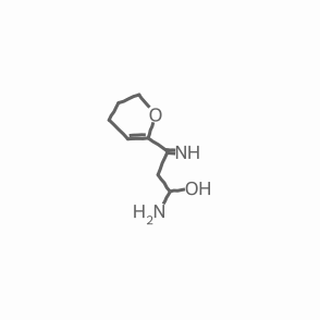 N=C(CC(N)O)C1=CCCCO1